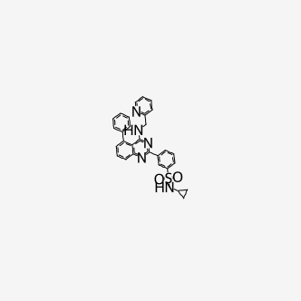 O=S(=O)(NC1CC1)c1cccc(-c2nc(NCc3ccccn3)c3c(-c4ccccc4)cccc3n2)c1